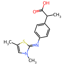 Cc1cn(C)c(=Nc2ccc(C(C)C(=O)O)cc2)s1